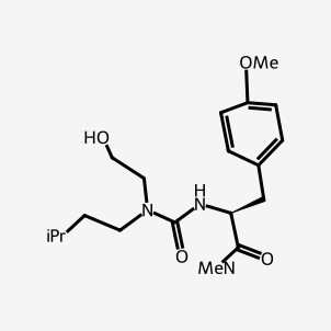 CNC(=O)[C@H](Cc1ccc(OC)cc1)NC(=O)N(CCO)CCC(C)C